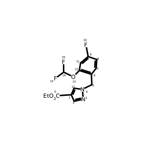 CCOC(=O)c1cnn(Cc2ccc(F)cc2OC(F)F)c1